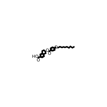 CCCCCCCCCCOc1ccc(C(=O)OC2CCc3cc(C(=O)O)ccc3C2)cc1